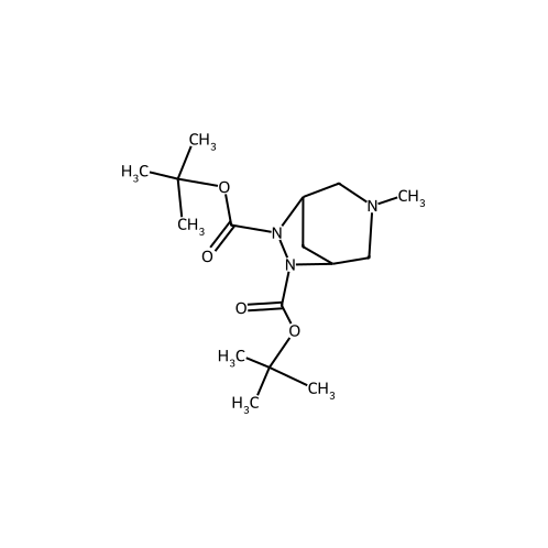 CN1CC2CC(C1)N(C(=O)OC(C)(C)C)N2C(=O)OC(C)(C)C